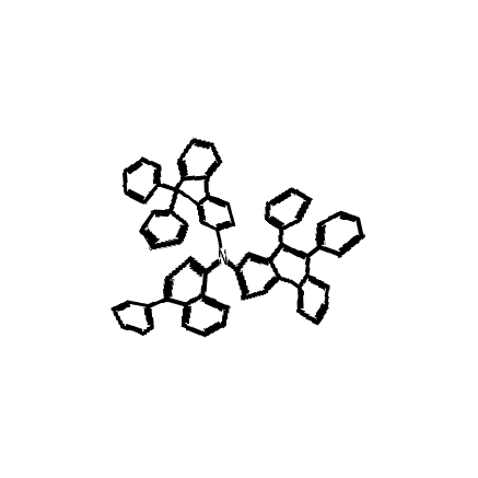 c1ccc(-c2ccc(N(c3ccc4c(c3)C(c3ccccc3)(c3ccccc3)c3ccccc3-4)c3ccc4c(c3)c(-c3ccccc3)c(-c3ccccc3)c3ccccc34)c3ccccc23)cc1